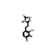 Cn1c(CCc2ccc(Br)c(F)c2O)n[nH]c1=O